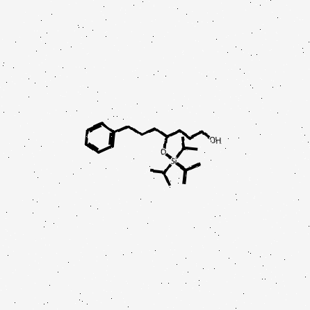 CC(C)[Si](OC(CCCO)CCCc1ccccc1)(C(C)C)C(C)C